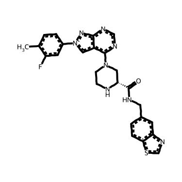 Cc1ccc(-n2cc3c(N4CCN[C@@H](C(=O)NCc5ccc6scnc6c5)C4)ncnc3n2)cc1F